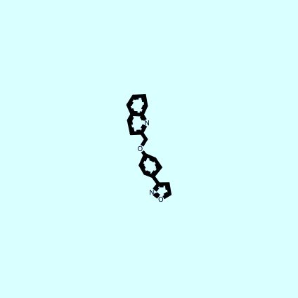 c1ccc2nc(COc3ccc(-c4ccon4)cc3)ccc2c1